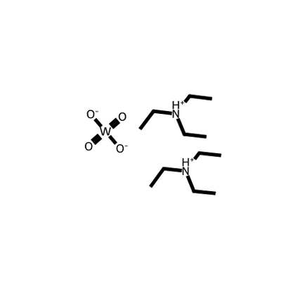 CC[NH+](CC)CC.CC[NH+](CC)CC.[O]=[W](=[O])([O-])[O-]